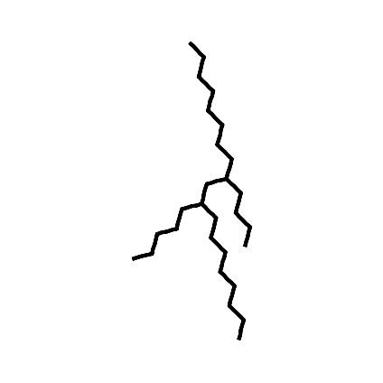 CCCCCCCCC(CCCC)CC(CCCCC)CCCCCCCC